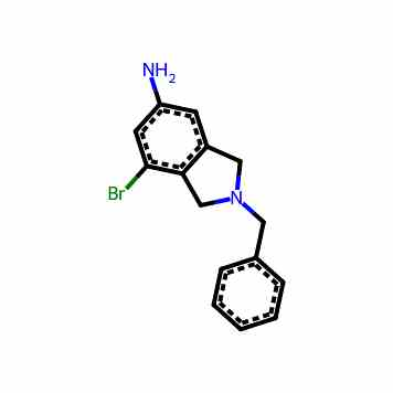 Nc1cc(Br)c2c(c1)CN(Cc1ccccc1)C2